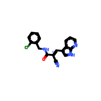 N#C/C(=C\c1c[nH]c2ncccc12)C(=O)NCc1ccccc1Cl